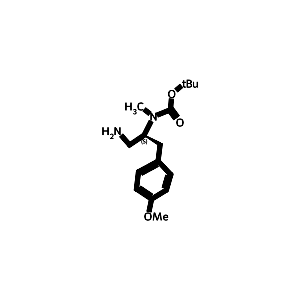 COc1ccc(C[C@@H](CN)N(C)C(=O)OC(C)(C)C)cc1